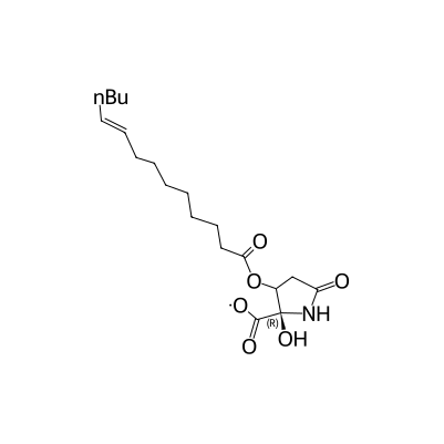 CCCCC=CCCCCCCCC(=O)OC1CC(=O)N[C@]1(O)C([O])=O